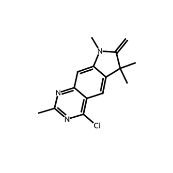 C=C1N(C)c2cc3nc(C)nc(Cl)c3cc2C1(C)C